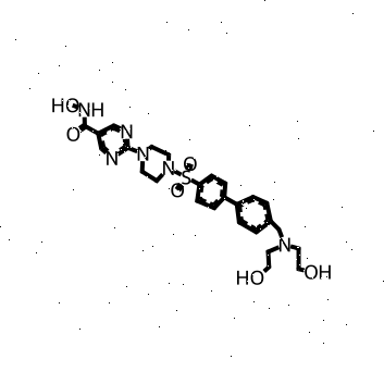 O=C(NO)c1cnc(N2CCN(S(=O)(=O)c3ccc(-c4ccc(CN(CCO)CCO)cc4)cc3)CC2)nc1